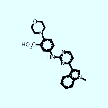 Cn1cc(-c2ccnc(Nc3ccc(N4CCOCC4)c(C(=O)O)c3)n2)c2ccccc21